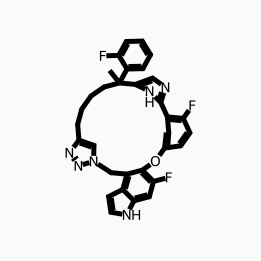 CC1(c2ccccc2F)CCCCc2cn(nn2)Cc2c(c(F)cc3[nH]ccc23)Oc2ccc(F)c(c2)-c2ncc1[nH]2